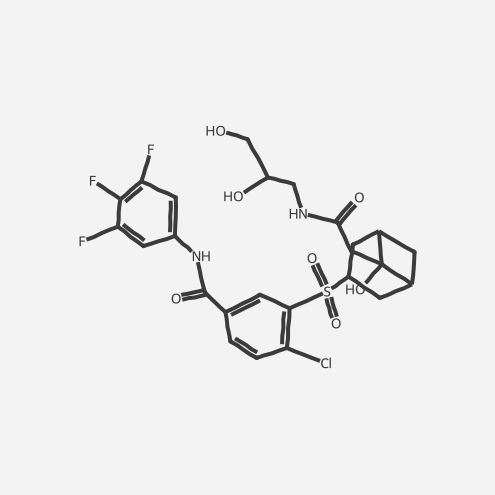 O=C(CC1(O)C2CC1CC(S(=O)(=O)c1cc(C(=O)Nc3cc(F)c(F)c(F)c3)ccc1Cl)C2)NCC(O)CO